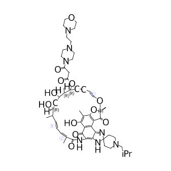 C/C1=C/C=C/C(C)[C@H](O)CC(O)[C@@H](C)[C@H](OC(=O)CC(=O)N2CCN(CCN3CCOCC3)CC2)CC/C=C/O[C@@]2(C)Oc3c(C)c(O)c4c(c3C2=O)C2=NC3(CCN(CC(C)C)CC3)NC2=C(NC1=O)C4=O